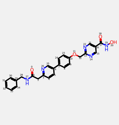 O=C(Cc1ccc(-c2ccc(OCc3ncc(C(=O)NO)cn3)cc2)cn1)NCc1ccccc1